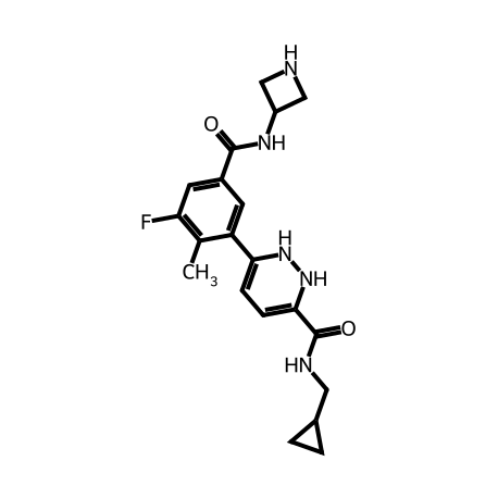 Cc1c(F)cc(C(=O)NC2CNC2)cc1C1=CC=C(C(=O)NCC2CC2)NN1